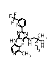 Cc1nccc(Nc2nc(NCC(C)(C)O)nc(-c3cccc(C(F)(F)F)n3)n2)c1F